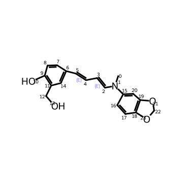 CN(/C=C/C=C/c1ccc(O)c(CO)c1)c1ccc2c(c1)OCO2